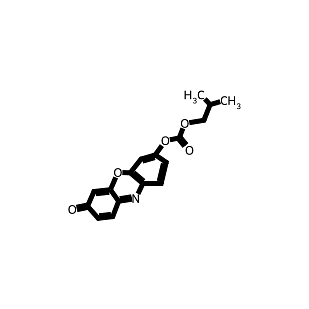 CC(C)COC(=O)Oc1ccc2nc3ccc(=O)cc-3oc2c1